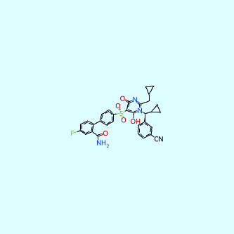 N#Cc1cccc([C@H](C2CC2)n2c(CC3CC3)nc(=O)c(S(=O)(=O)c3ccc(-c4ccc(F)cc4C(N)=O)cc3)c2O)c1